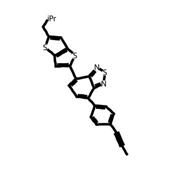 CC#Cc1ccc(-c2ccc(-c3cc4sc(CC(C)C)cc4s3)c3nsnc23)cc1